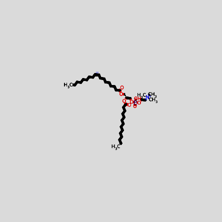 CCCCCCCC/C=C\CCCCCCCC(=O)OC[C@H](COP(=O)(O)OCC[N+](C)(C)C)OC(=O)CCCCCCCCCCCCC